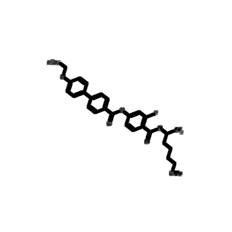 CCCCCCCCCCCOc1ccc(-c2ccc(C(=O)Oc3ccc(C(=O)OC(CCCCOC)C(F)(F)F)c(F)c3)cc2)cc1